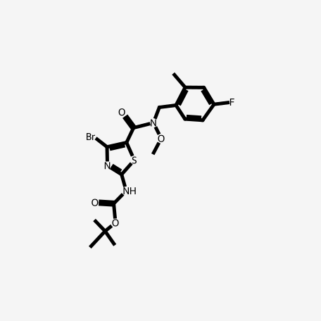 CON(Cc1ccc(F)cc1C)C(=O)c1sc(NC(=O)OC(C)(C)C)nc1Br